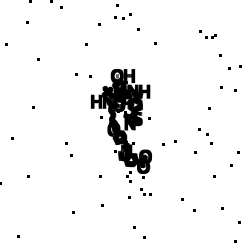 COC(=O)c1ccc2ccn(Cc3ccc(OCCCCC(=O)N[C@H](C(=O)N4C[C@H](O)C[C@H]4C(=O)N[C@@H](C)c4ccc(-c5scnc5C)cc4)C(C)(C)C)cc3)c2c1